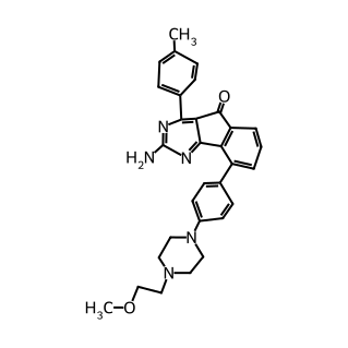 COCCN1CCN(c2ccc(-c3cccc4c3-c3nc(N)nc(-c5ccc(C)cc5)c3C4=O)cc2)CC1